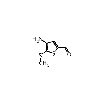 CSc1sc(C=O)cc1N